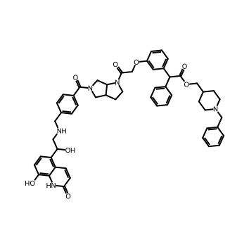 O=C(OCC1CCN(Cc2ccccc2)CC1)C(c1ccccc1)c1cccc(OCC(=O)N2CCC3CN(C(=O)c4ccc(CNCC(O)c5ccc(O)c6[nH]c(=O)ccc56)cc4)CC32)c1